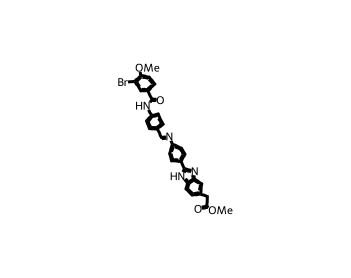 COC(=O)Cc1ccc2[nH]c(-c3ccc(/N=C/c4ccc(NC(=O)c5ccc(OC)c(Br)c5)cc4)cc3)nc2c1